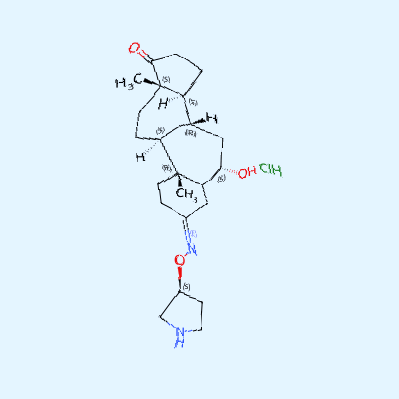 C[C@]12CC/C(=N\O[C@H]3CCNC3)CC1[C@@H](O)C[C@@H]1[C@@H]2CC[C@]2(C)C(=O)CC[C@@H]12.Cl